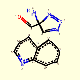 NC1(C=O)C=NN=N1.c1ccc2ncccc2c1